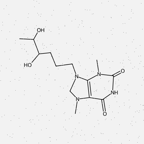 CC(O)C(O)CCCN1CN(C)c2c1n(C)c(=O)[nH]c2=O